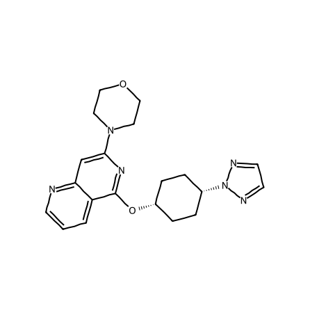 c1cnc2cc(N3CCOCC3)nc(O[C@H]3CC[C@@H](n4nccn4)CC3)c2c1